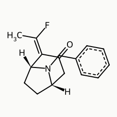 C/C(F)=C1/C(=O)C[C@@H]2CC[C@H]1N2Cc1ccccc1